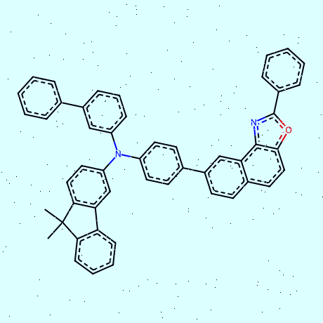 CC1(C)c2ccccc2-c2cc(N(c3ccc(-c4ccc5ccc6oc(-c7ccccc7)nc6c5c4)cc3)c3cccc(-c4ccccc4)c3)ccc21